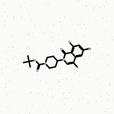 CC(C)(C)OC(=O)N1CCC(n2cc(I)c3cc(Br)cc(F)c3c2=O)CC1